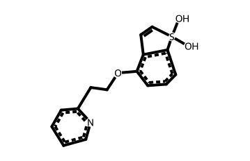 OS1(O)C=Cc2c(OCCc3ccccn3)cccc21